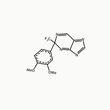 COc1ccc(C2(C(F)(F)F)N=CC3=NC=NC3=N2)cc1OC